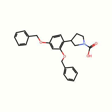 O=C(O)N1CCC(c2ccc(OCc3ccccc3)cc2OCc2ccccc2)C1